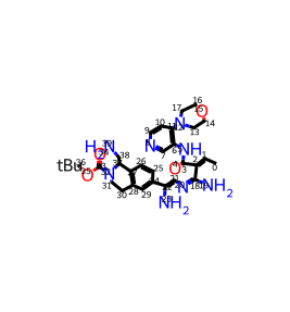 C\C=C(C(=O)Nc1cnccc1N1CCOCC1)/C(N)=N\C=C(/N)c1ccc2c(c1)CCN(C(=O)OC(C)(C)C)C2CN